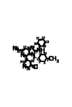 C[C@H]1CC[C@H](Cn2c(Nc3ccccc3)nc3cc(C#N)nc(-c4cncc(Cl)c4)c32)CC1